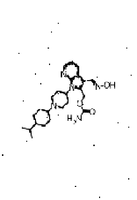 CC(C)C1CCC(N2CCC(n3c(COC(N)=O)c(C=NO)c4cccnc43)CC2)CC1